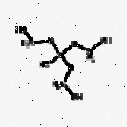 O[SiH2]O[Si](O)(O[SiH2]O)O[SiH2]O